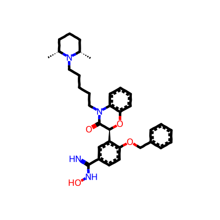 C[C@@H]1CCC[C@H](C)N1CCCCCN1C(=O)[C@H](c2cc(C(=N)NO)ccc2OCc2ccccc2)Oc2ccccc21